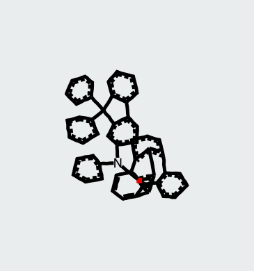 C1=CC2c3cccc4c3-c3cc(N(c5ccccc5)c5ccc6c(c5)C(c5ccccc5)(c5ccccc5)c5ccccc5-6)ccc3C(=C1)C2c1ccccc1-4